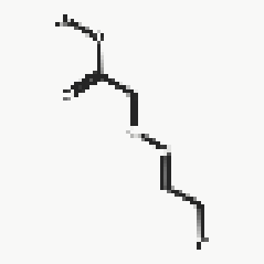 CCOC(=O)CON=CCCl